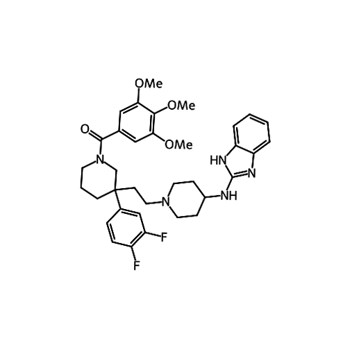 COc1cc(C(=O)N2CCCC(CCN3CCC(Nc4nc5ccccc5[nH]4)CC3)(c3ccc(F)c(F)c3)C2)cc(OC)c1OC